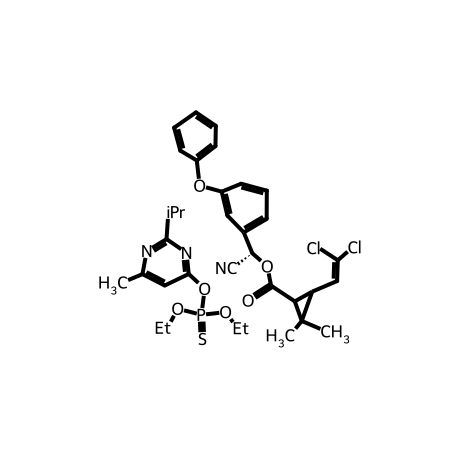 CC1(C)C(C=C(Cl)Cl)C1C(=O)O[C@H](C#N)c1cccc(Oc2ccccc2)c1.CCOP(=S)(OCC)Oc1cc(C)nc(C(C)C)n1